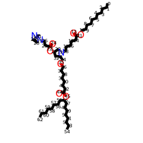 CCCCCCCCCCCOC(=O)CCCCCN1CC(OC(=O)CCn2ccnc2)CC1COCCCCCCCC(=O)OC(CCCCCCCC)CCCCCCCC